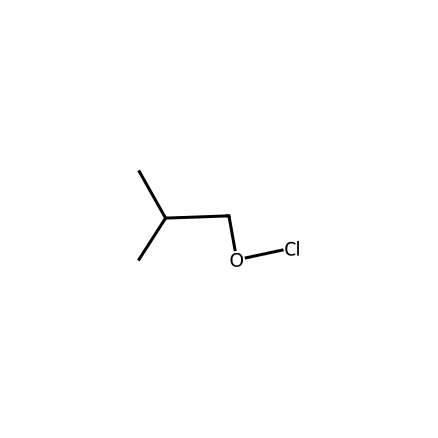 CC(C)COCl